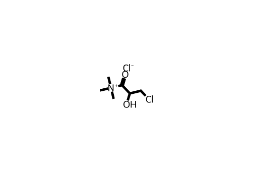 C[N+](C)(C)C(=O)C(O)CCl.[Cl-]